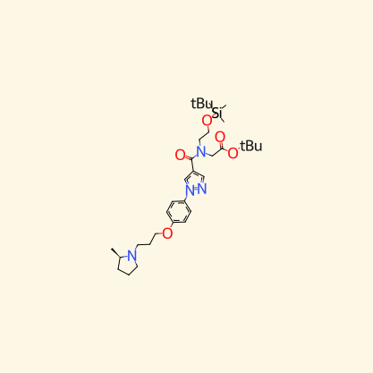 C[C@@H]1CCCN1CCCOc1ccc(-n2cc(C(=O)N(CCO[Si](C)(C)C(C)(C)C)CC(=O)OC(C)(C)C)cn2)cc1